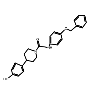 O=C(Nc1ccc(OCc2ccccc2)cc1)N1CCC(c2ccc(O)cc2)CC1